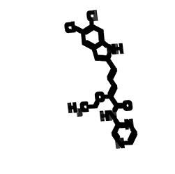 CCOC(=CC=Cc1cc2cc(Cl)c(Cl)cc2[nH]1)C(=O)Nc1cnccn1